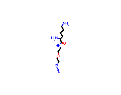 [N-]=[N+]=NCCOCCNC(=O)[C@@H](N)CCCCN